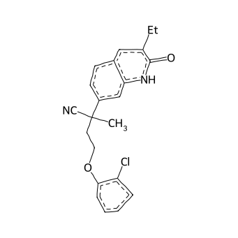 CCc1cc2ccc(C(C)(C#N)CCOc3ccccc3Cl)cc2[nH]c1=O